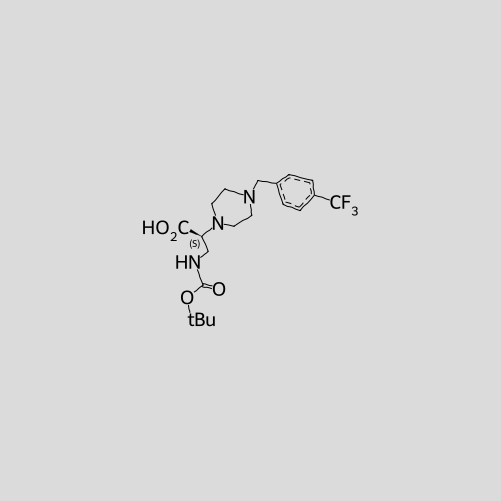 CC(C)(C)OC(=O)NC[C@@H](C(=O)O)N1CCN(Cc2ccc(C(F)(F)F)cc2)CC1